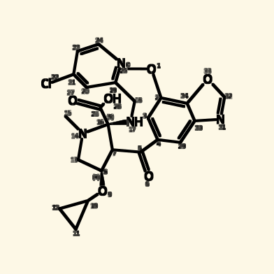 COc1cc(C(=O)C2[C@@H](OC3CC3)CN(C)[C@]2(NCc2cc(Cl)ccn2)C(=O)O)cc2ncoc12